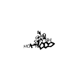 CC(C)(O)c1ncc([S@@](=O)(=NC(=O)Nc2c3c(cc4c2CCC4)CCC3)NC#N)s1